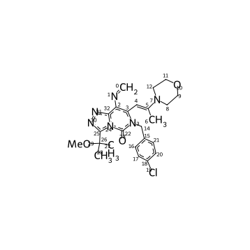 C=Nc1c(/C=C(\C)N2CCOCC2)n(Cc2ccc(Cl)cc2)c(=O)n2c(C(C)(C)OC)nnc12